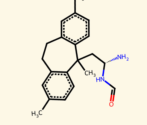 Cc1ccc2c(c1)CCc1cc(C)ccc1C2(C)C[C@H](N)NC=O